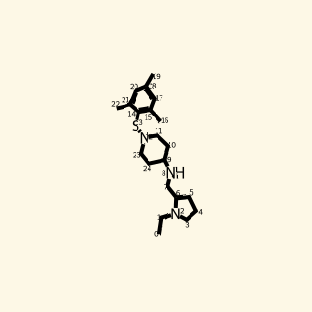 CCN1CCCC1CNC1CCN(Sc2c(C)cc(C)cc2C)CC1